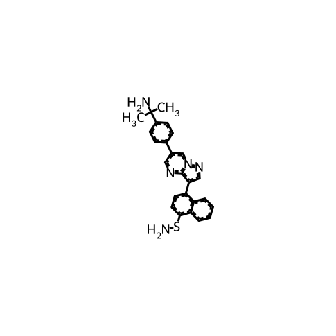 CC(C)(N)c1ccc(-c2cnc3c(-c4ccc(SN)c5ccccc45)cnn3c2)cc1